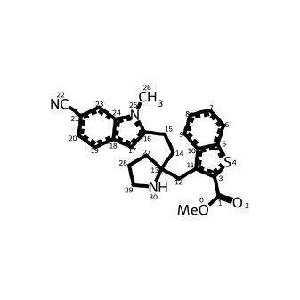 COC(=O)c1sc2ccccc2c1CC1(CCc2cc3ccc(C#N)cc3n2C)CCCN1